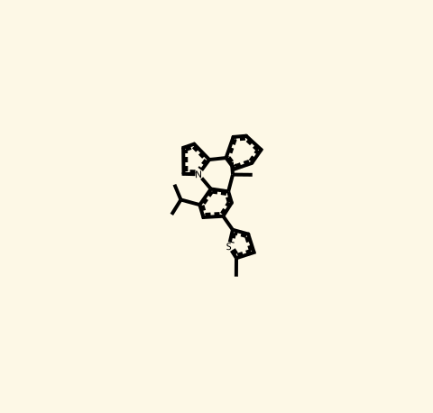 Cc1ccc(-c2cc(C(C)C)c(-n3cccc3-c3ccccc3)c(C(C)C)c2)s1